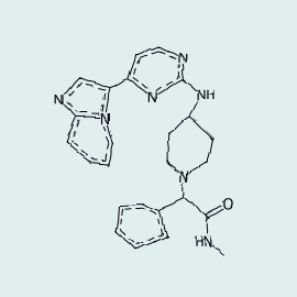 CNC(=O)C(c1ccccc1)N1CCC(Nc2nccc(-c3cnc4ccccn34)n2)CC1